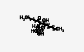 CCCCCC(=O)C(N)C(O)C(=O)CCCCC.O=P(O)(O)O